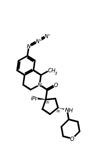 CC1c2cc(N=[N+]=[N-])ccc2CCN1C(=O)[C@@]1(C(C)C)CC[C@@H](NC2CCOCC2)C1